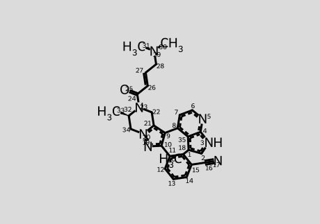 Cc1c[nH]c2nccc(-c3c(-c4cccc(C#N)c4)nn4c3CN(C(=O)/C=C/CN(C)C)[C@H](C)C4)c12